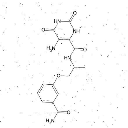 CC(COc1cccc(C(N)=O)c1)NC(=O)c1[nH]c(=O)[nH]c(=O)c1N